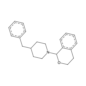 c1ccc(CC2CCN(C3OCCc4ccccc43)CC2)cc1